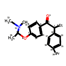 CCC(C(=O)c1ccc(OC(C)N(C)C)cc1)c1ccc(C(C)C)cc1